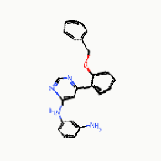 Nc1cccc(Nc2cc(-c3ccccc3OCc3ccccc3)ncn2)c1